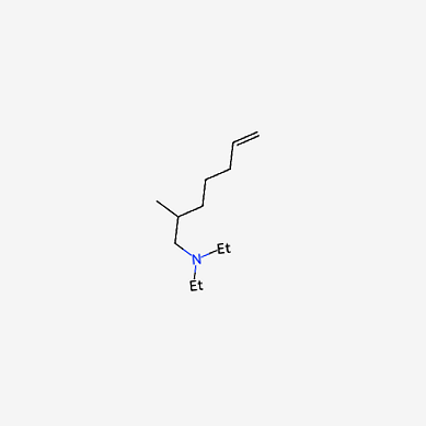 C=CCCCC(C)CN(CC)CC